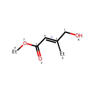 CCOC(=O)/C=C(\CC)CO